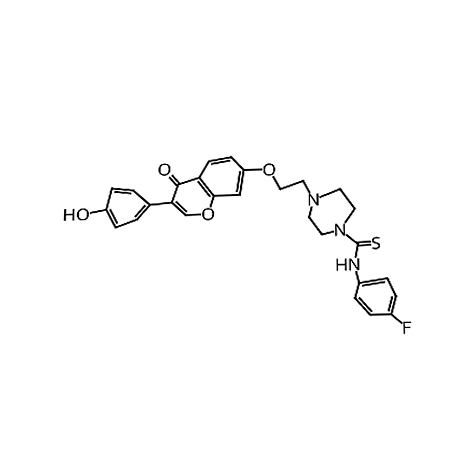 O=c1c(-c2ccc(O)cc2)coc2cc(OCCN3CCN(C(=S)Nc4ccc(F)cc4)CC3)ccc12